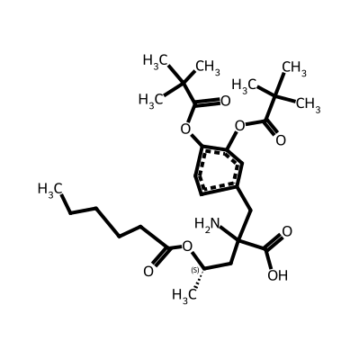 CCCCCC(=O)O[C@@H](C)CC(N)(Cc1ccc(OC(=O)C(C)(C)C)c(OC(=O)C(C)(C)C)c1)C(=O)O